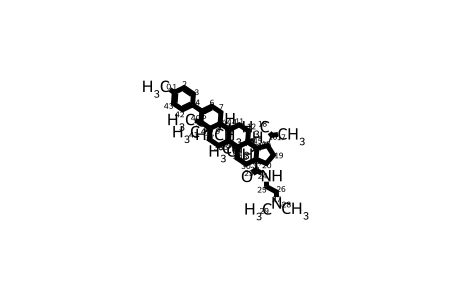 Cc1ccc(C2=CC[C@]3(C)[C@H]4CC[C@@H]5[C@H]6[C@H](C(C)C)CC[C@]6(C(=O)NCCN(C)C)CC[C@@]5(C)[C@]4(C)CC[C@H]3C2(C)C)cc1